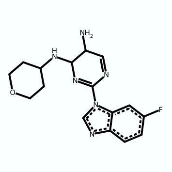 NC1C=NC(n2cnc3ccc(F)cc32)=NC1NC1CCOCC1